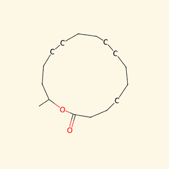 CC1CCCCCCCCCCCCCC(=O)O1